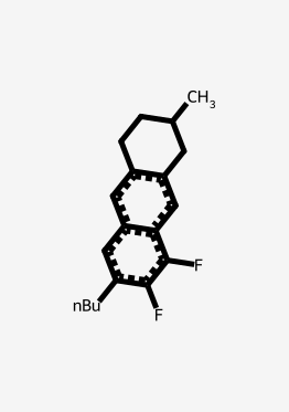 CCCCc1cc2cc3c(cc2c(F)c1F)CC(C)CC3